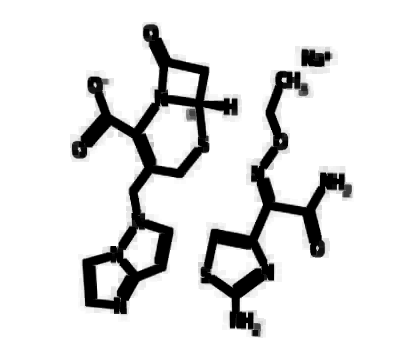 CCON=C(C(N)=O)c1csc(N)n1.O=C([O-])C1=C(Cn2ccc3nccn32)CS[C@H]2CC(=O)N12.[Na+]